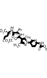 CCOC(=O)CC[C@@H](NC(=O)[C@@H](NC(=O)c1c(C)nn(-c2ccc(NC(=O)OC(C)(C)C)nc2)c1C)C(C)C)C(=O)OCC